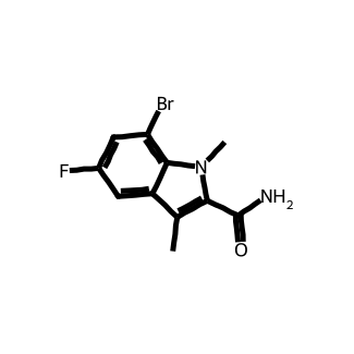 Cc1c(C(N)=O)n(C)c2c(Br)cc(F)cc12